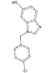 Oc1ccc2ncn(Cc3ccc(Cl)cc3)c2c1